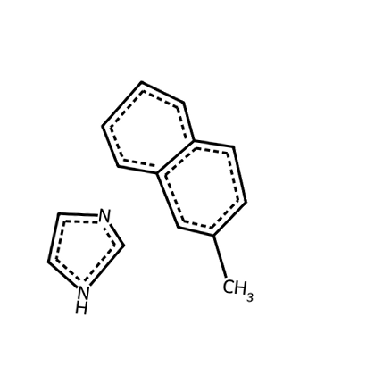 Cc1ccc2ccccc2c1.c1c[nH]cn1